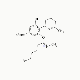 CCCCCc1cc(O)c(C2C=C(C)CCC2)c(O/C(=N\C)SCCCBr)c1